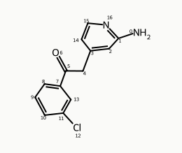 Nc1cc(CC(=O)c2cccc(Cl)c2)ccn1